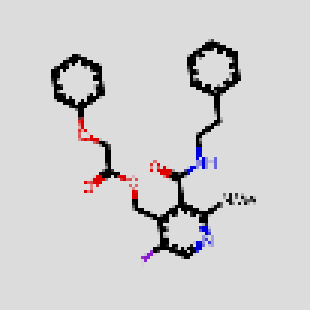 CNc1ncc(I)c(COC(=O)COc2ccccc2)c1C(=O)NCCc1ccccc1